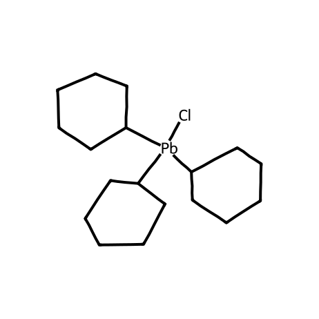 [Cl][Pb]([CH]1CCCCC1)([CH]1CCCCC1)[CH]1CCCCC1